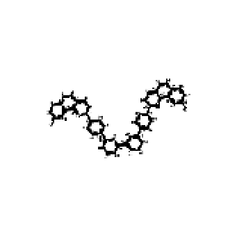 Cc1ccc2ccc3ccc(-c4ccc(-c5cccc(-c6cccc(-c7ccc(-c8ccc9ccc%10ccc(C)cc%10c9n8)cc7)c6)c5)cc4)nc3c2c1